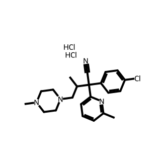 Cc1cccc(C(C#N)(c2ccc(Cl)cc2)C(C)CN2CCN(C)CC2)n1.Cl.Cl